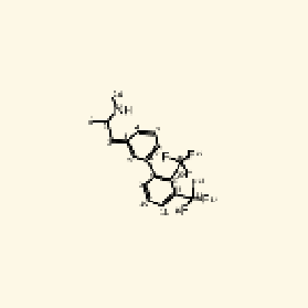 [CH2]C(Cc1cccc(-c2cccc(C(F)(F)F)c2C(F)(F)F)c1)NC